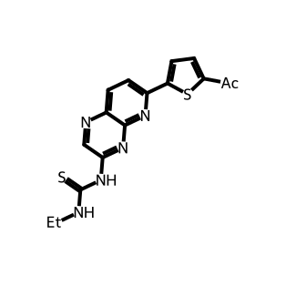 CCNC(=S)Nc1cnc2ccc(-c3ccc(C(C)=O)s3)nc2n1